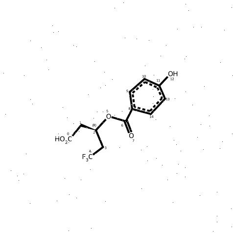 O=C(O)C[C@H](CC(F)(F)F)OC(=O)c1ccc(O)cc1